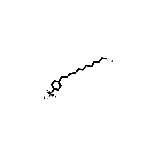 CCCCCCCCCCCCC1=CC=C(S(=O)(=O)O)CC1